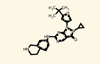 CC(C)(C)c1cc(-n2c3nc(Nc4ccc5c(c4)CNCC5)ncc3c(=O)n2C2CC2)co1